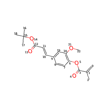 C=C(C)C(=O)Oc1ccc(C=CC(=O)OC(C)(C)C)cc1OC